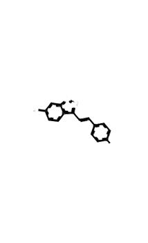 Clc1ccc(C=Cc2nsc3cc(Br)ccc23)cc1